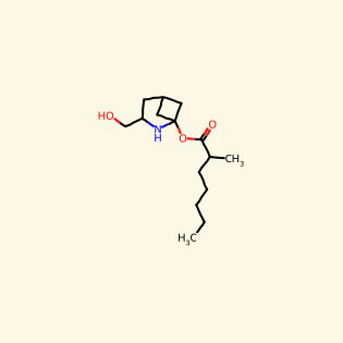 CCCCCC(C)C(=O)OC12CC(CC(CO)N1)C2